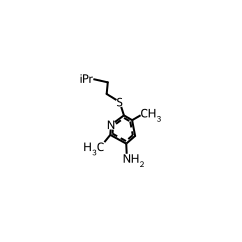 Cc1cc(N)c(C)nc1SCCC(C)C